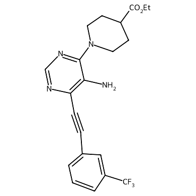 CCOC(=O)C1CCN(c2ncnc(C#Cc3cccc(C(F)(F)F)c3)c2N)CC1